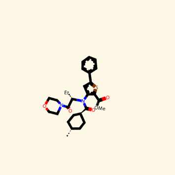 CC[C@@H](C(=O)N1CCOCC1)N(c1cc(-c2ccccc2)sc1C(=O)OC)C(=O)[C@H]1CC[C@H](C)CC1